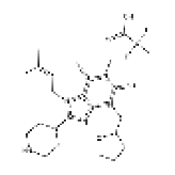 CC(C)=CCn1c(N2CCNCC2)nc2c1c(=O)n(C)c(=O)n2CC1CCCO1.O=C(O)C(F)(F)F